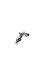 CCc1cc(C(=O)N2CCn3cccc3[C@H]2C)nc2cc(-c3ccc4c(c3F)OCC(C(=O)OC)=C4)nn12